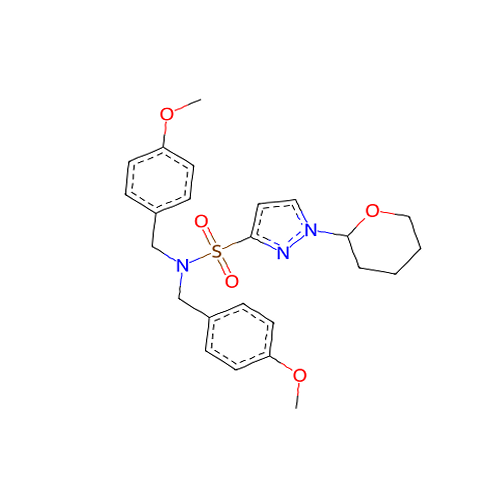 COc1ccc(CN(Cc2ccc(OC)cc2)S(=O)(=O)c2ccn(C3CCCCO3)n2)cc1